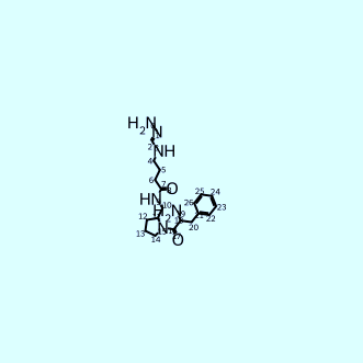 NN=CNCCCC(=O)NCC1CCCN1C(=O)C(N)Cc1ccccc1